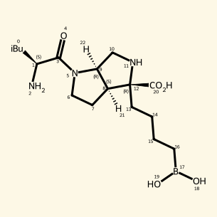 CCC(C)[C@H](N)C(=O)N1CC[C@H]2[C@@H]1CN[C@@]2(CCCCB(O)O)C(=O)O